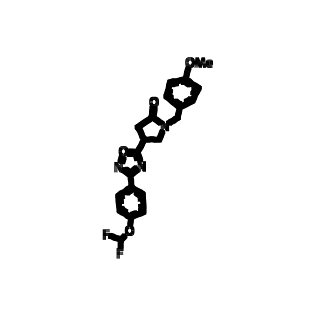 COc1ccc(CN2CC(c3nc(-c4ccc(OC(F)F)cc4)no3)CC2=O)cc1